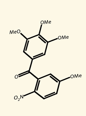 COc1ccc([N+](=O)[O-])c(C(=O)c2cc(OC)c(OC)c(OC)c2)c1